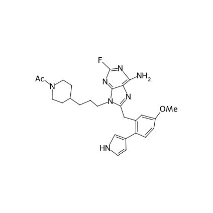 COc1ccc(-c2cc[nH]c2)c(Cc2nc3c(N)nc(F)nc3n2CCCC2CCN(C(C)=O)CC2)c1